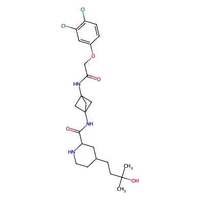 CC(C)(O)CCC1CCNC(C(=O)NC23CC(NC(=O)COc4ccc(Cl)c(Cl)c4)(C2)C3)C1